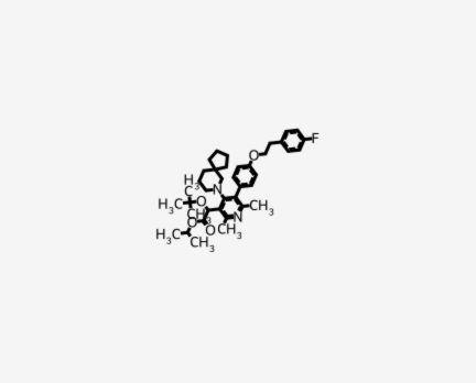 Cc1nc(C)c(C(OC(C)(C)C)C(=O)OC(C)C)c(N2CCCC3(CCCC3)C2)c1-c1ccc(OCCc2ccc(F)cc2)cc1